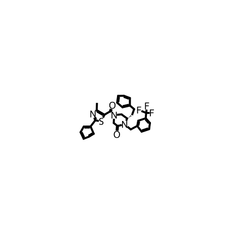 Cc1nc(-c2ccccc2)sc1C(=O)N1CC(=O)N(Cc2cccc(C(F)(F)F)c2)[C@@H](CCc2ccccc2)C1